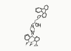 OC(CCOc1cccc2c3ccccc3c3ccccc3c12)CN1CCN(C2c3ccccc3C(F)C(F)c3c(C4CC4)cccc32)CC1